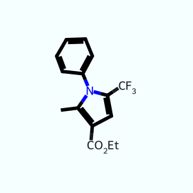 CCOC(=O)c1cc(C(F)(F)F)n(-c2ccccc2)c1C